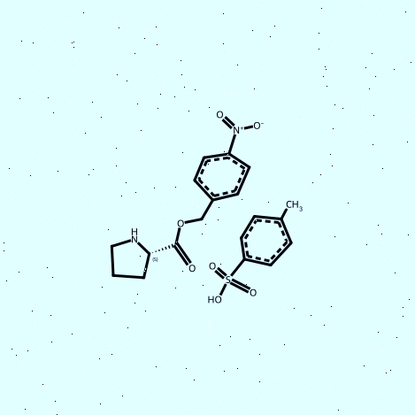 Cc1ccc(S(=O)(=O)O)cc1.O=C(OCc1ccc([N+](=O)[O-])cc1)[C@@H]1CCCN1